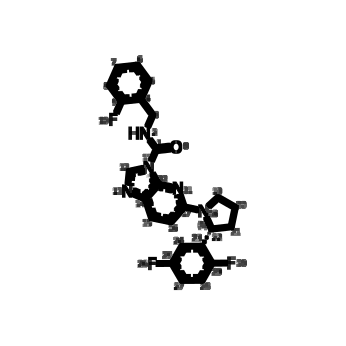 O=C(NCc1ccccc1F)n1cnc2ccc(N3CCC[C@@H]3c3cc(F)ccc3F)nc21